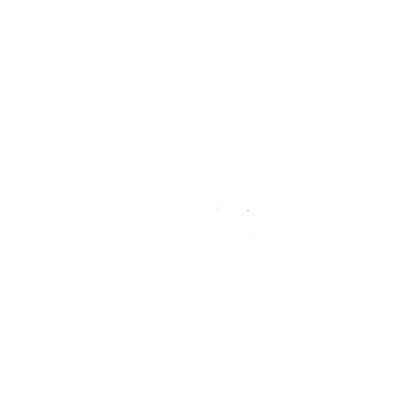 CCCCCCCCOC(=O)C[CH](S)[SnH]([CH2]CCC)[CH2]CCC